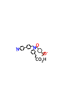 CN(C)c1ccc(-c2ccc(CN(C(=O)C3CCC([S+](C)[O-])CC3)c3cccc(C=CC(=O)O)c3)cc2)cc1